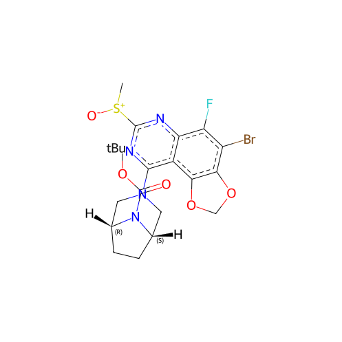 C[S+]([O-])c1nc(N2C[C@H]3CC[C@@H](C2)N3C(=O)OC(C)(C)C)c2c3c(c(Br)c(F)c2n1)OCO3